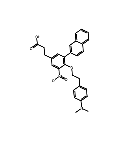 CN(C)c1ccc(CCOc2c(-c3ccc4ccccc4c3)cc(CCC(=O)O)cc2[N+](=O)[O-])cc1